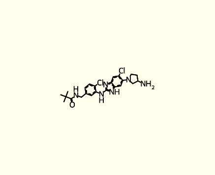 CC(C)(C)C(=O)NCc1ccc(Cl)c(Nc2nc3cc(Cl)c(N4CCC(N)C4)cc3[nH]2)c1